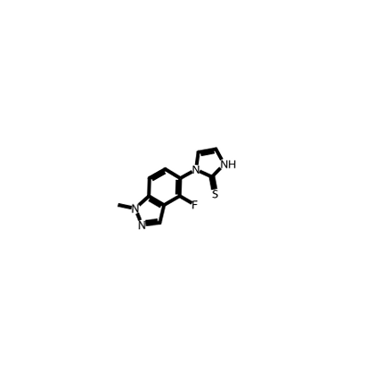 Cn1ncc2c(F)c(-n3cc[nH]c3=S)ccc21